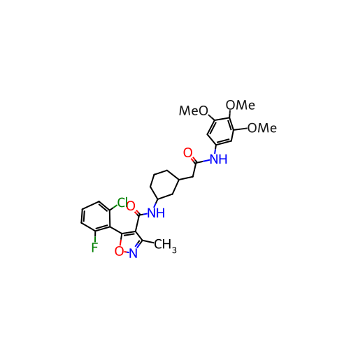 COc1cc(NC(=O)CC2CCCC(NC(=O)c3c(C)noc3-c3c(F)cccc3Cl)C2)cc(OC)c1OC